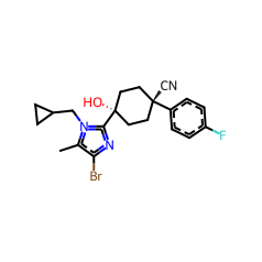 Cc1c(Br)nc([C@]2(O)CC[C@@](C#N)(c3ccc(F)cc3)CC2)n1CC1CC1